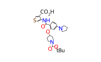 CC(C)(C)OC(=O)N1CCC(Oc2cc(N3CCCC3)ccc2C(=O)Nc2cscc2C(=O)O)CC1